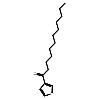 CCCCCCCCCCCC(=O)c1ccoc1